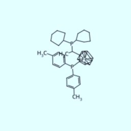 Cc1ccc(P(c2ccc(C)cc2)[C]23[CH]4[CH]5[CH]6[C]2(C(C)P(C2CCCCC2)C2CCCCC2)[Fe]56432789[CH]3[CH]2[CH]7[CH]8[CH]39)cc1